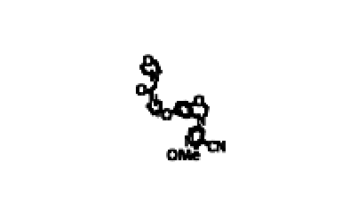 COc1ncc(N2CCOc3ccc(O[C@H]4CCN(C(=O)CN5CCOCC5)C4)cc32)cc1C#N